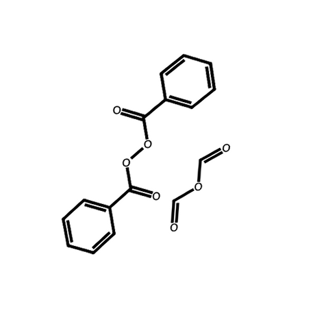 O=C(OOC(=O)c1ccccc1)c1ccccc1.O=COC=O